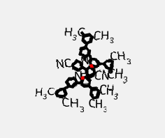 Cc1cc(C)cc(-c2ccc3c(c2)c2cc(-c4cc(C)cc(C)c4)ccc2n3-c2cc(C#N)cc(-n3c4ccc(-c5cc(C)cc(C)c5)cc4c4cc(-c5cc(C)cc(C)c5)ccc43)c2-c2ccc(C#N)cc2F)c1